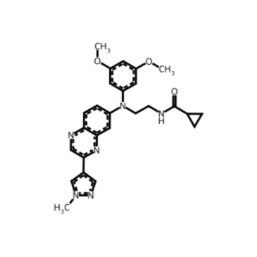 COc1cc(OC)cc(N(CCNC(=O)C2CC2)c2ccc3ncc(-c4cnn(C)c4)nc3c2)c1